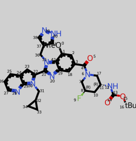 COc1cc(C(=O)N2C[C@H](F)C[C@@H](NC(=O)OC(C)(C)C)C2)cc2nc(-c3cc4cccnc4n3CC3CC3)n(Cc3cn[nH]c3)c12